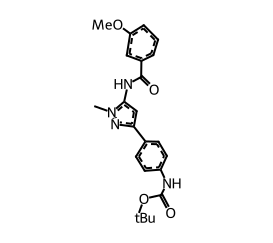 COc1cccc(C(=O)Nc2cc(-c3ccc(NC(=O)OC(C)(C)C)cc3)nn2C)c1